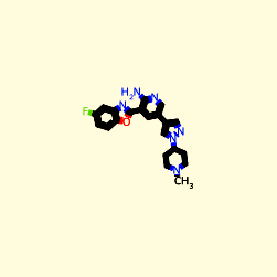 CN1CCC(n2cc(-c3cnc(N)c(-c4nc5cc(F)ccc5o4)c3)cn2)CC1